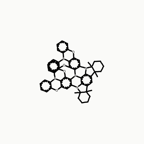 CC12CCCCC1(C)N1c3cc4c5c(c3B3c6c(cc7c8c6Oc6ccccc6B8c6ccccc6O7)N6c7c(cc2c1c73)C1(C)CCCCC61C)Oc1ccccc1B5c1ccccc1O4